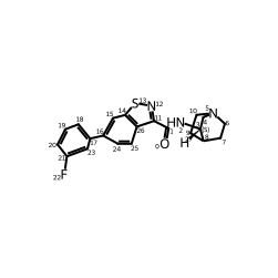 O=C(N[C@@H]1CN2CCC1CC2)c1nsc2cc(-c3cccc(F)c3)ccc12